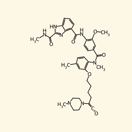 CNC(=O)c1nc2c(C(=O)Nc3ccc(C(=O)N(C)c4ccc(C)cc4OCCCCC(=C=O)N4CCN(C)CC4)cc3OC)cccc2[nH]1